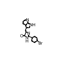 O=C1NC(c2ccc(Br)cc2)=NC1=Cc1c[nH]c2ncccc12